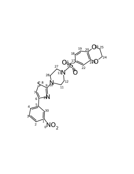 O=[N+]([O-])c1cccc(-c2csc(N3CCN(S(=O)(=O)c4ccc5c(c4)OCCO5)CC3)n2)c1